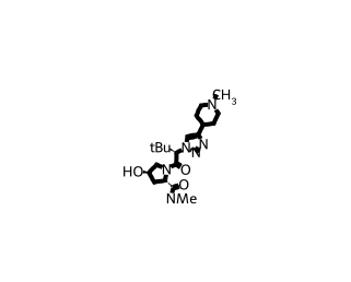 CNC(=O)[C@@H]1C[C@@H](O)CN1C(=O)[C@@H](n1cc(C2CCN(C)CC2)nn1)C(C)(C)C